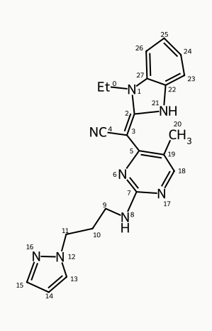 CCN1C(=C(C#N)c2nc(NCCCn3cccn3)ncc2C)Nc2ccccc21